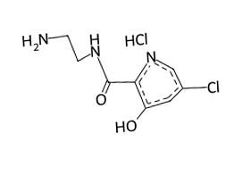 Cl.NCCNC(=O)c1ncc(Cl)cc1O